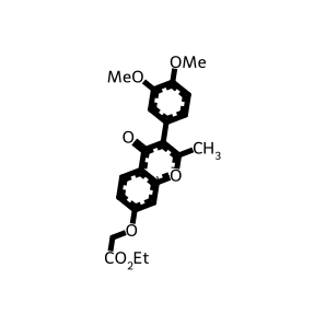 CCOC(=O)COc1ccc2c(=O)c(-c3ccc(OC)c(OC)c3)c(C)oc2c1